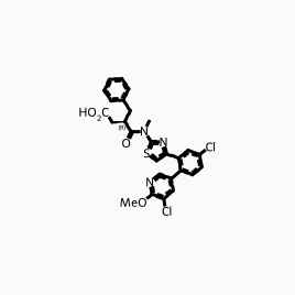 COc1ncc(-c2ccc(Cl)cc2-c2csc(N(C)C(=O)[C@@H](CC(=O)O)Cc3ccccc3)n2)cc1Cl